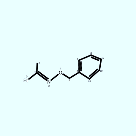 CC/C(C)=N/OCc1ccccc1